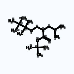 CC(N)CN(CO[Si](C)(C)C(C)(C)C)C(=O)OC(C)(C)C